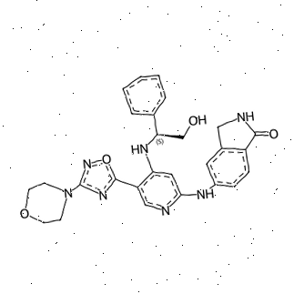 O=C1NCc2cc(Nc3cc(N[C@H](CO)c4ccccc4)c(-c4nc(N5CCOCC5)no4)cn3)ccc21